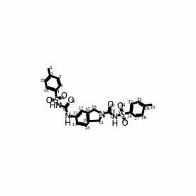 Cc1ccc(S(=O)(=O)NC(=O)Nc2ccc3c(c2)CN(C(=O)NS(=O)(=O)c2ccc(C)cc2)C3)cc1